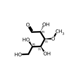 CO[C@@H]([C@@H](O)[C@H](O)CO)[C@@H](O)C=O